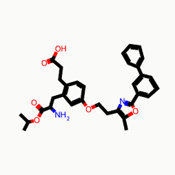 Cc1oc(-c2cccc(-c3ccccc3)c2)nc1CCOc1ccc(CCC(=O)O)c(CC(N)C(=O)OC(C)C)c1